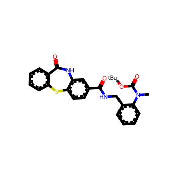 CN(C(=O)OC(C)(C)C)c1ccccc1CNC(=O)c1ccc2c(c1)NC(=O)c1ccccc1S2